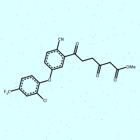 COC(=O)CC(=O)CCC(=O)c1cc(Oc2ccc(C(F)(F)F)cc2Cl)ccc1C#N